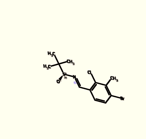 Cc1c(Br)ccc(/C=N/[S@@+]([O-])C(C)(C)C)c1Cl